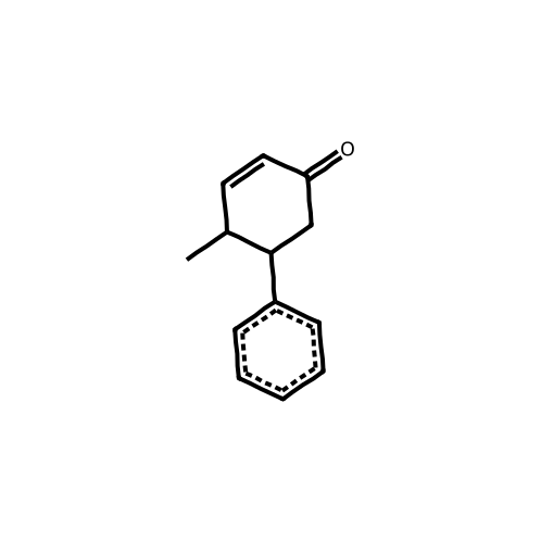 CC1C=CC(=O)CC1c1ccccc1